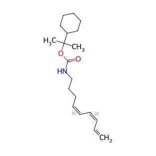 C=C/C=C\C=C/CCCNC(=O)OC(C)(C)C1CCCCC1